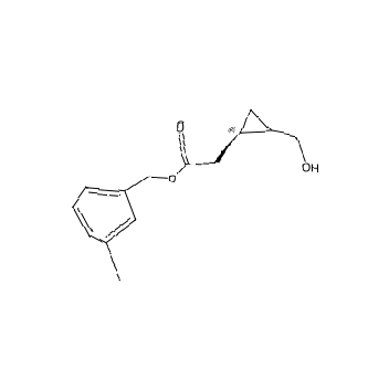 Cc1cccc(COC(=O)C[C@H]2CC2CO)c1